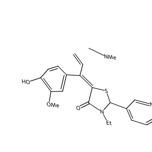 C=CC(=C1SC(c2cccnc2)N(CC)C1=O)c1ccc(O)c(OC)c1.CNC